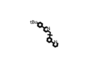 CC(C)(C)c1ccc(-c2ccc(CC(C)(C)c3cccc(-c4ccccn4)c3)nc2)cc1